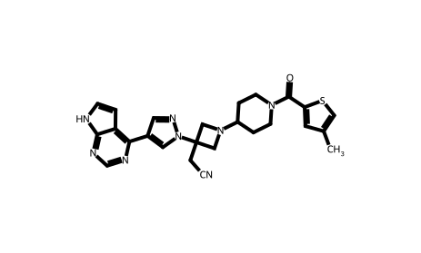 Cc1csc(C(=O)N2CCC(N3CC(CC#N)(n4cc(-c5ncnc6[nH]ccc56)cn4)C3)CC2)c1